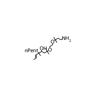 CC=CC(C)(CCCCC)C(O)CC(C)(C)OCCOC(C)(C)CCN